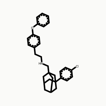 Clc1ccc(C23CC4CC(CC(CNCCc5ccc(Oc6ccccc6)cc5)(C4)C2)C3)cc1